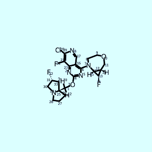 [2H]C([2H])(Oc1nc(N2CCOC[C@@H]3[C@@H](F)[C@@H]32)c2cnc(Cl)c(F)c2n1)[C@@]12CCCN1C[C@H](F)C2